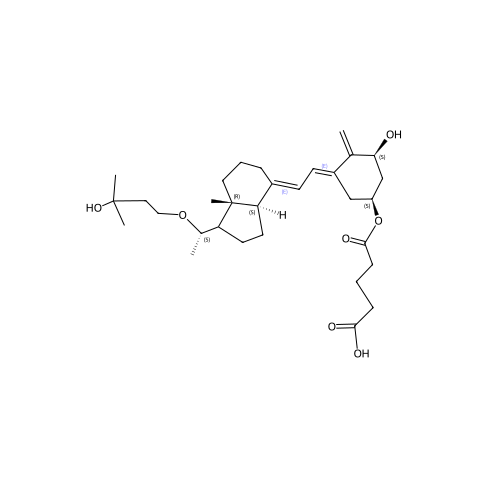 C=C1/C(=C/C=C2\CCC[C@@]3(C)C([C@H](C)OCCC(C)(C)O)CC[C@H]23)C[C@H](OC(=O)CCCC(=O)O)C[C@@H]1O